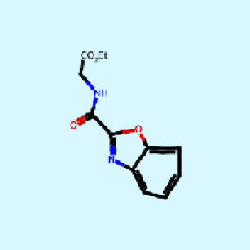 CCOC(=O)CNC(=O)c1nc2ccccc2o1